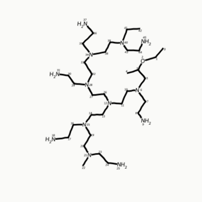 CCOC(C)CN(CCN)CCN(CCN(CCN)CCN(C)CCN)CCN(CCN)CCN(CCN)CCN(CC)CCN